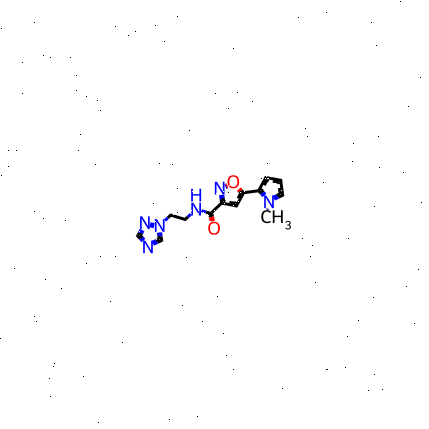 Cn1cccc1-c1cc(C(=O)NCCn2cncn2)no1